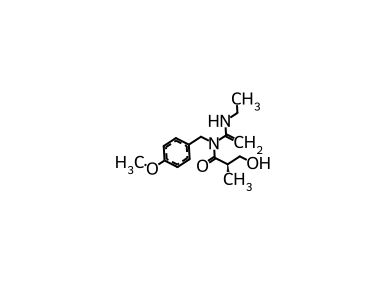 C=C(NCC)N(Cc1ccc(OC)cc1)C(=O)[C@H](C)CO